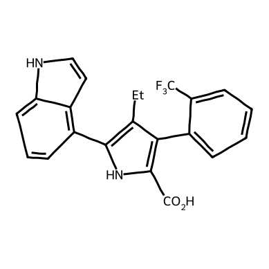 CCc1c(-c2cccc3[nH]ccc23)[nH]c(C(=O)O)c1-c1ccccc1C(F)(F)F